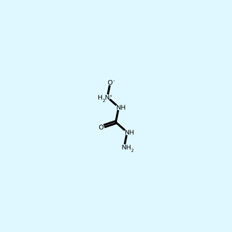 NNC(=O)N[NH2+][O-]